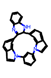 c1cc2cc(c1)-n1ccc3ccc(cc31)C1Nc3ccccc3N=C1c1ccc3ccn-2c3c1